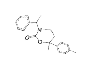 Cc1ccc(C2(C)CCN(C(C)c3ccccc3)C(=O)O2)cc1